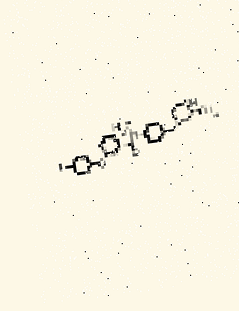 C[C@H]1CN(Cc2ccc(N(C)C(=O)c3cccc(Oc4ccc(F)cc4)c3)cc2)CCN1